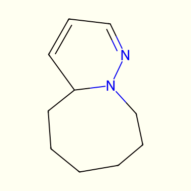 C1=CC2CCCCCCN2N=C1